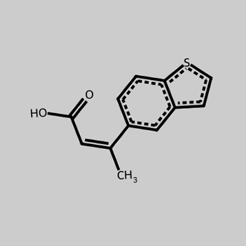 C/C(=C/C(=O)O)c1ccc2sccc2c1